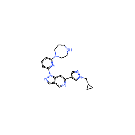 c1cc(N2CCCNCC2)nc(-n2ncc3cnc(-c4cnn(CC5CC5)c4)cc32)c1